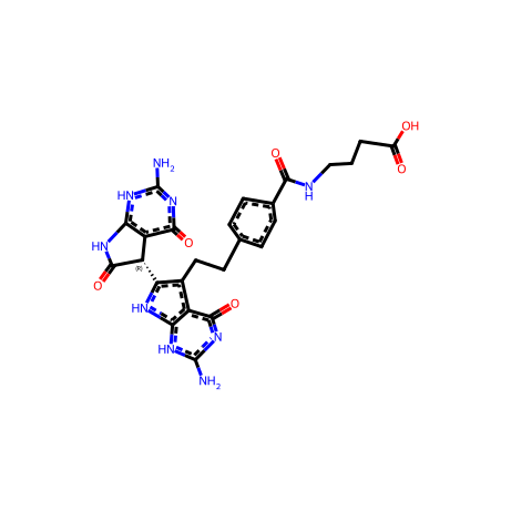 Nc1nc(=O)c2c([nH]1)NC(=O)[C@H]2c1[nH]c2[nH]c(N)nc(=O)c2c1CCc1ccc(C(=O)NCCCC(=O)O)cc1